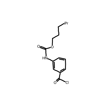 CC(C)CCCOC(=O)Nc1cccc(C(=O)Cl)c1